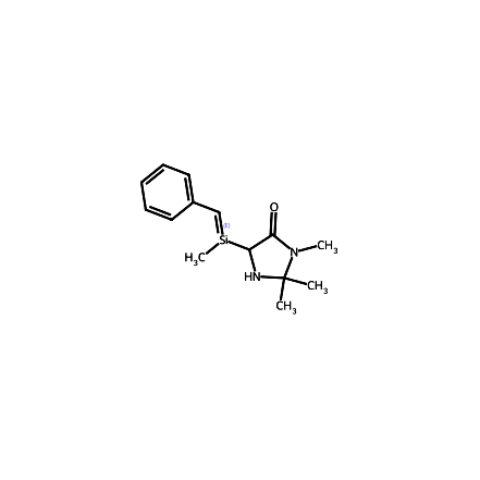 CN1C(=O)C(/[Si](C)=C/c2ccccc2)NC1(C)C